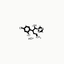 C=CCC(c1ccc(Cl)cc1Cl)C(S)n1cncn1.Cl